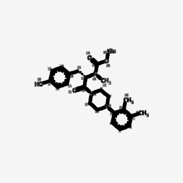 Cc1cccc(N2CCN(C(=O)[C@H](Cc3ccc(O)cc3)N(C)C(=O)OC(C)(C)C)CC2)c1C